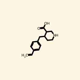 C=Cc1ccc(CC2CCNCC2C(=O)O)cc1